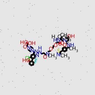 Cc1ncsc1-c1ccc([C@H](C)NC(=O)[C@@H]2C[C@@H](O)CN2C(=O)[C@@H](NC(=O)COCCOCCN(C)C(=O)CCNc2nc(N3CCN(C(=O)C(O)O)CC3)c3cc(Cl)c(-c4c(O)cccc4F)c(F)c3n2)C(C)(C)C)cc1